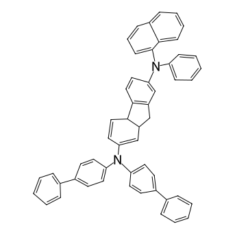 C1=CC2c3ccc(N(c4ccccc4)c4cccc5ccccc45)cc3CC2C=C1N(c1ccc(-c2ccccc2)cc1)c1ccc(-c2ccccc2)cc1